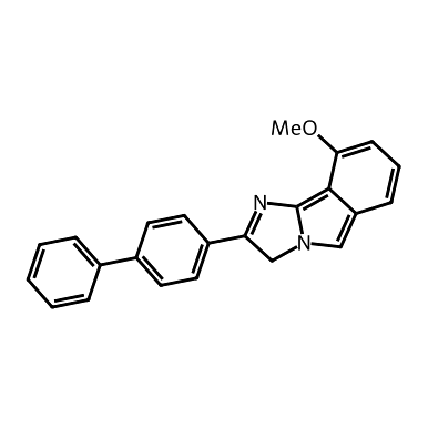 COc1cccc2cn3c(c12)N=C(c1ccc(-c2ccccc2)cc1)C3